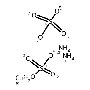 O=S(=O)([O-])[O-].O=S(=O)([O-])[O-].[Cu+2].[NH4+].[NH4+]